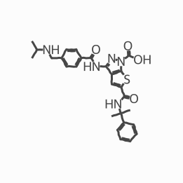 CC(C)NCc1ccc(C(=O)Nc2nn(C(=O)O)c3sc(C(=O)NC(C)(C)c4ccccc4)cc23)cc1